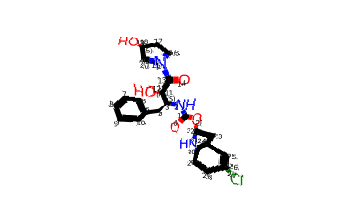 O=C(N[C@@H](Cc1ccccc1)[C@@H](O)C(=O)N1CC[C@H](O)C1)Oc1cc2cc(Cl)ccc2[nH]1